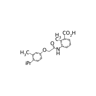 Cc1cc(OCC(=O)Nc2cccc(C(=O)O)c2C)ccc1C(C)C